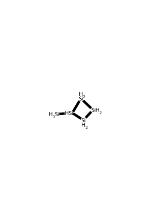 [SiH3][SiH]1[SiH2][SiH2][SiH2]1